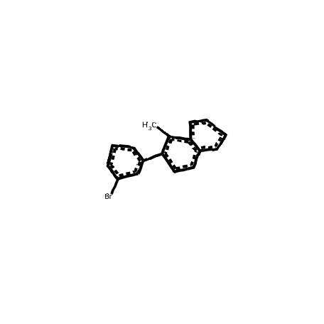 Cc1c(-c2cccc(Br)c2)ccc2ccccc12